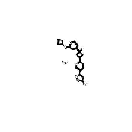 [Na+].[O-]c1cc(-c2ccc(C3CC(F)(c4ccnc(OC5CCC5)c4)C3)nc2)on1